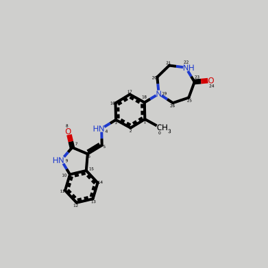 Cc1cc(NC=C2C(=O)Nc3ccccc32)ccc1N1CCNC(=O)CC1